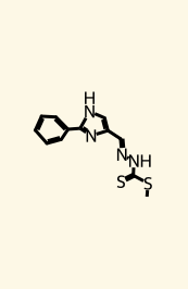 CSC(=S)NN=Cc1c[nH]c(-c2ccccc2)n1